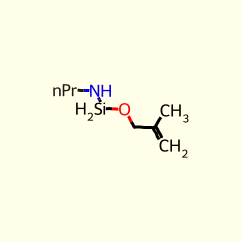 C=C(C)CO[SiH2]NCCC